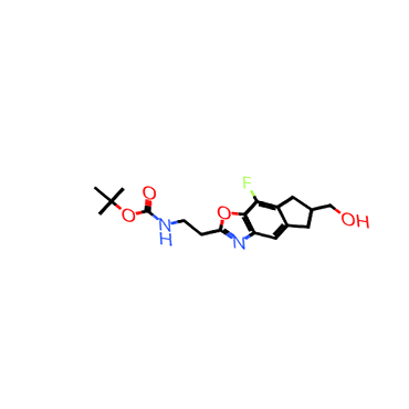 CC(C)(C)OC(=O)NCCc1nc2cc3c(c(F)c2o1)CC(CO)C3